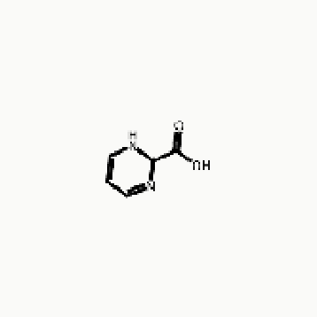 O=C(O)[C]1N=CC=CN1